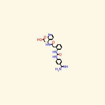 N=C(N)c1ccc(NC(=O)Nc2ccccc2CC(=O)N[C@H](CC(=O)O)c2cccnc2)cc1